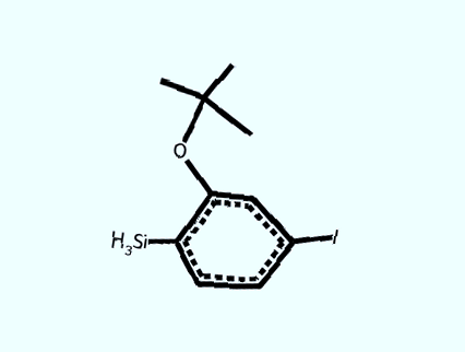 CC(C)(C)Oc1cc(I)ccc1[SiH3]